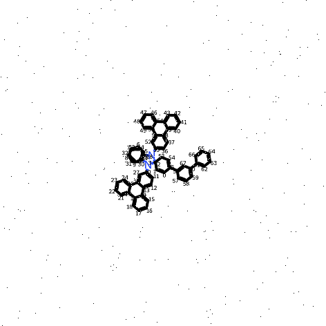 C1=CC(N(c2ccccc2)c2ccc3c4ccccc4c4ccccc4c3c2)(N(c2ccccc2)c2ccc3c4ccccc4c4ccccc4c3c2)CC=C1c1cccc(-c2ccccc2)c1